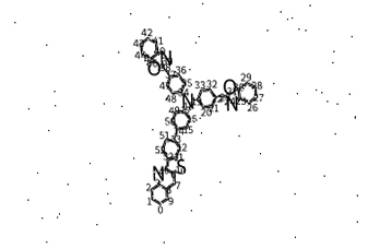 c1ccc2nc3c(cc2c1)sc1cc(-c2ccc(N(c4ccc(-c5nc6ccccc6o5)cc4)c4ccc(-c5nc6ccccc6o5)cc4)cc2)ccc13